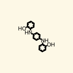 Oc1ccccc1Nc1ccc(Nc2ccccc2O)cc1